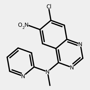 CN(c1ccccn1)c1ncnc2cc(Cl)c([N+](=O)[O-])cc12